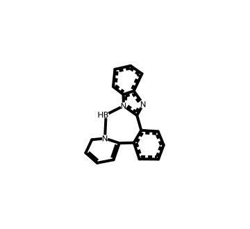 B1N2CC=CC=C2c2ccccc2-c2nc3ccccc3n21